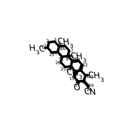 CC1CCC2(C)CCC3(C)C4=CC=C5C(=CC(=O)/C(=C\C#N)C5C)C4(C)CCC3C2C1